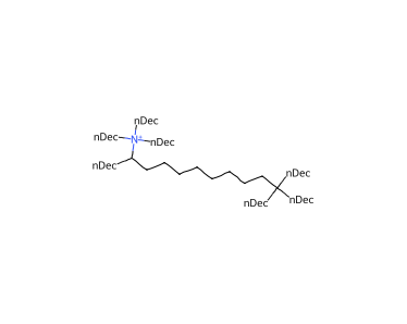 CCCCCCCCCCC(CCCCCCCCC(CCCCCCCCCC)(CCCCCCCCCC)CCCCCCCCCC)[N+](CCCCCCCCCC)(CCCCCCCCCC)CCCCCCCCCC